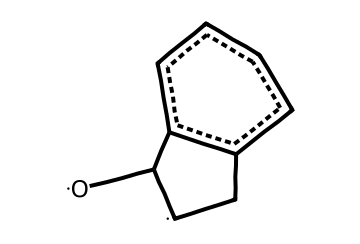 [O]C1[CH]Cc2ccccc21